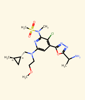 COCCN(C[C@@H]1C[C@H]1C)c1cc(-c2nnc(C(C)N)o2)c(Cl)c(N(C)S(C)(=O)=O)n1